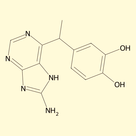 CC(c1ccc(O)c(O)c1)c1ncnc2nc(N)[nH]c12